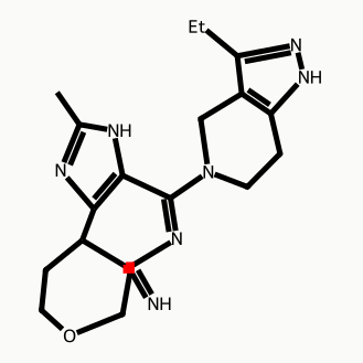 CCc1n[nH]c2c1CN(/C(=N/C=N)c1[nH]c(C)nc1C1CCOCC1)CC2